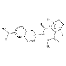 CN[C@H](Cc1ccc(B(O)O)cc1F)NC(=O)[C@@H]1[C@H]2CC[C@H](C2)N1C(=O)OC(C)(C)C